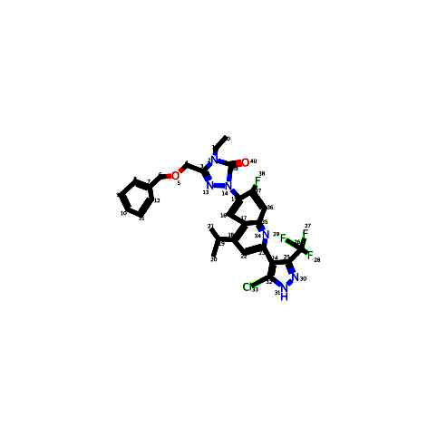 CCn1c(COCc2ccccc2)nn(-c2cc3c(C(C)C)cc(-c4c(C(F)(F)F)n[nH]c4Cl)nc3cc2F)c1=O